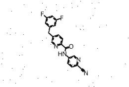 N#Cc1ccc(NC(=O)c2ccc(Cc3cc(F)cc(F)c3)cn2)cn1